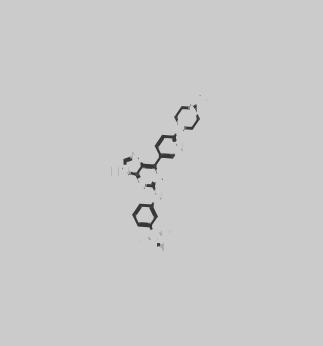 CC(=O)N1CCN(c2ccc(-c3nc(Nc4cccc(S(N)(=O)=O)c4)nc4[nH]cnc34)cn2)CC1